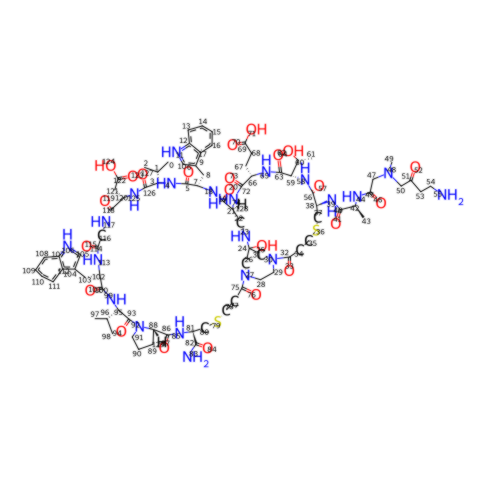 CC(C)[C@@H]1NC(=O)[C@H](Cc2c[nH]c3ccccc23)NC(=O)[C@@H]2CNC3(O)CN(CCN(C3)C(=O)CCSC[C@H](NC(=O)[C@H](C)NC(=O)CN(C)CC(=O)CCN)C(=O)N[C@@H]([C@@H](C)O)C(=O)N[C@@H](CCC(=O)O)C(=O)N2)C(=O)CCSC[C@@H](C(N)=O)NC(=O)[C@@H]2CCCN2C(=O)[C@H](C(C)C)NC(=O)[C@H](Cc2c[nH]c3ccccc23)NC(=O)CNC(=O)[C@H](CC(=O)O)NC1=O